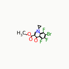 CCOC(=O)c1cn(C2CC2)c2c(F)c(Br)c(F)c(F)c2c1=O